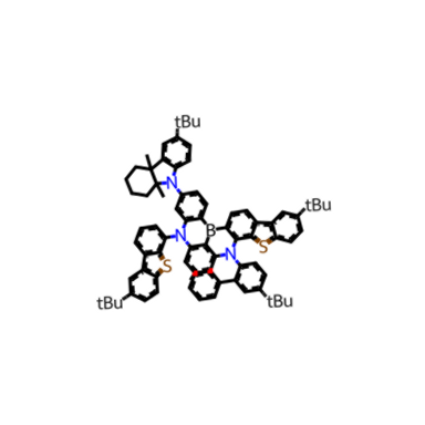 Cc1cc2c3c(c1)N(c1ccc(C(C)(C)C)cc1-c1ccccc1)c1c(ccc4c1sc1ccc(C(C)(C)C)cc14)B3c1ccc(N3c4ccc(C(C)(C)C)cc4C4(C)CCCCC34C)cc1N2c1cccc2c1sc1ccc(C(C)(C)C)cc12